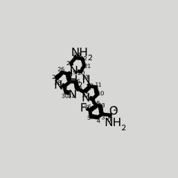 NC(=O)c1ccc(F)c(-c2ccc(N)c(-c3cc4c(N5CCC[C@@H](N)C5)ccnc4cn3)n2)c1